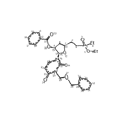 CCOP(=O)(CC)CC[C@@H]1C[C@H](OC(=O)c2ccccc2)[C@H](n2ccc(=O)n(COCc3ccccc3)c2=O)O1